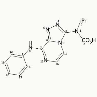 CC(C)N(C(=O)O)c1nnc2c(Nc3ccccc3)nccn12